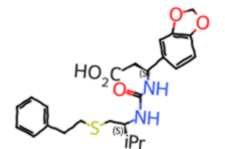 CC(C)[C@@H](CSCCc1ccccc1)NC(=O)N[C@@H](CC(=O)O)c1ccc2c(c1)OCO2